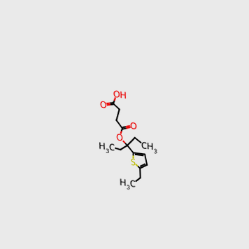 CCc1ccc(C(CC)(CC)OC(=O)CCC(=O)O)s1